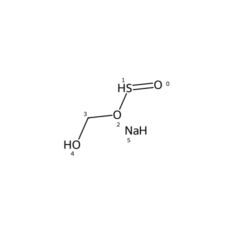 O=[SH]OCO.[NaH]